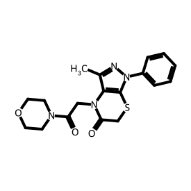 Cc1nn(-c2ccccc2)c2c1N(CC(=O)N1CCOCC1)C(=O)CS2